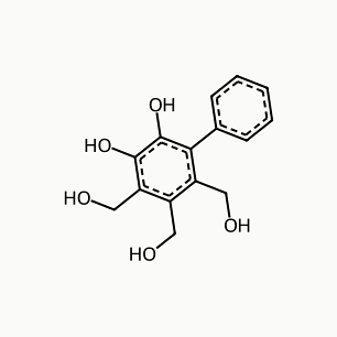 OCc1c(O)c(O)c(-c2ccccc2)c(CO)c1CO